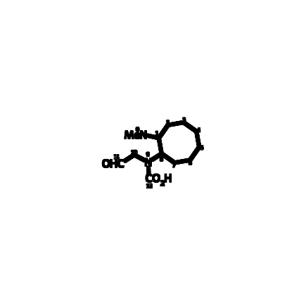 CNC1CCCCCCC1N(CC=O)C(=O)O